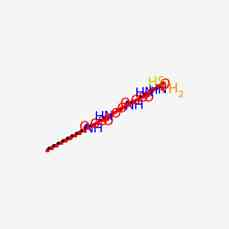 CCCCCCCCCCCCCCCCCC(=O)NCCOCCOCC(=O)NCCOCCOCC(=O)NCCOCCOCC(=O)NCCCC[C@H](NP)C(=O)S